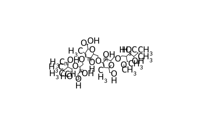 COC(C)C(COCC1OC(CO)C(C)=C(OCC2OC(C(=O)O)C(C)=C(OCC(OC(CO)C([C@H](C)O)C(C)(C)C)[C@@H](O)CO)[C@@H]2O)[C@@H]1O)C(O)C(O)C(C)(C)C